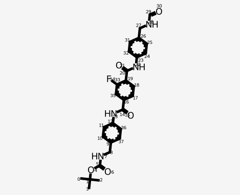 CC(C)(C)OC(=O)NCc1ccc(NC(=O)c2ccc(C(=O)Nc3ccc(CNC=O)cc3)c(F)c2)cc1